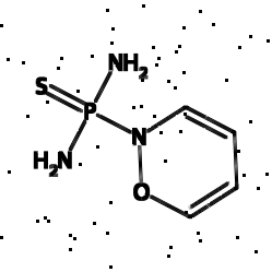 NP(N)(=S)N1C=CC=CO1